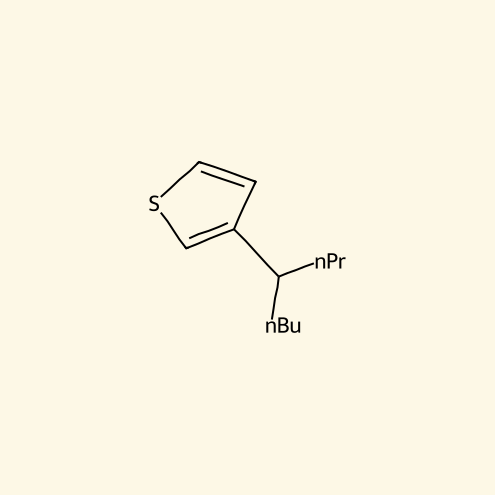 CCCCC(CCC)c1ccsc1